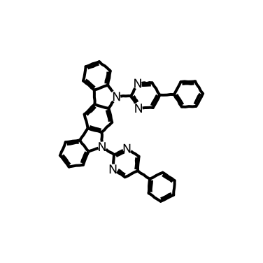 c1ccc(-c2cnc(-n3c4ccccc4c4cc5c6ccccc6n(-c6ncc(-c7ccccc7)cn6)c5cc43)nc2)cc1